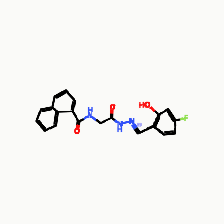 O=C(CNC(=O)c1cccc2ccccc12)N/N=C/c1ccc(F)cc1O